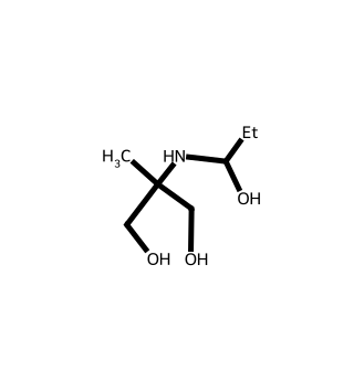 CCC(O)NC(C)(CO)CO